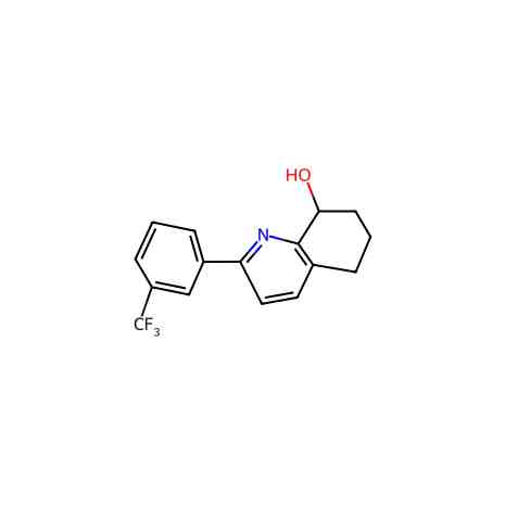 OC1CCCc2ccc(-c3cccc(C(F)(F)F)c3)nc21